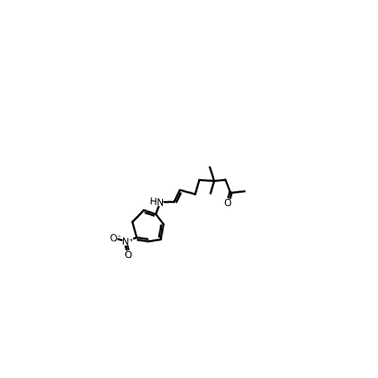 CC(=O)CC(C)(C)CC/C=C/NC1=CCC([N+](=O)[O-])=CC=C1